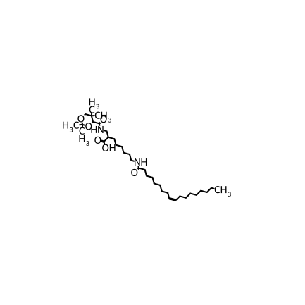 CCCCCCCC/C=C\CCCCCCCC(=O)NCCCCCCC(CNC(=O)C1OC(C)(C)OCC1(C)C)C(=O)O